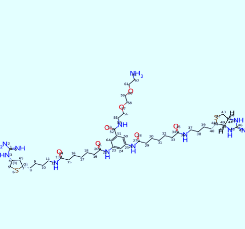 N=C(N)N[C@H]1CS[C@@H](CCCCNC(=O)CCCCCC(=O)Nc2cc(NC(=O)CCCCCC(=O)NCCCC[C@@H]3SC[C@@H]4NC(=N)N[C@@H]43)cc(C(=O)NCCOCCOCCN)c2)C1